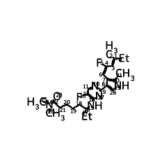 CC/C(C)=C/C(F)=C\c1c(-c2ncc(F)c(N[C@H](CC)CCCCC(=O)N(C)C)n2)c[nH]c1C